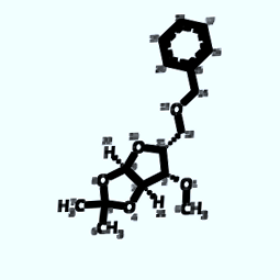 CO[C@@H]1[C@H]2OC(C)(C)O[C@H]2O[C@@H]1COCc1ccccc1